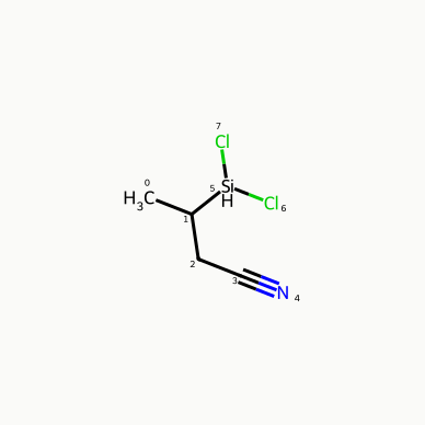 CC(CC#N)[SiH](Cl)Cl